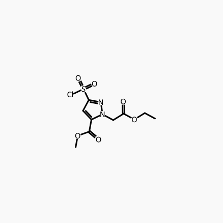 CCOC(=O)Cn1nc(S(=O)(=O)Cl)cc1C(=O)OC